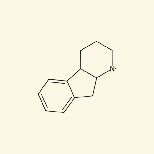 c1ccc2c(c1)CC1[N]CCCC21